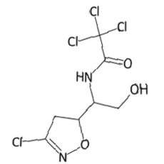 O=C(NC(CO)C1CC(Cl)=NO1)C(Cl)(Cl)Cl